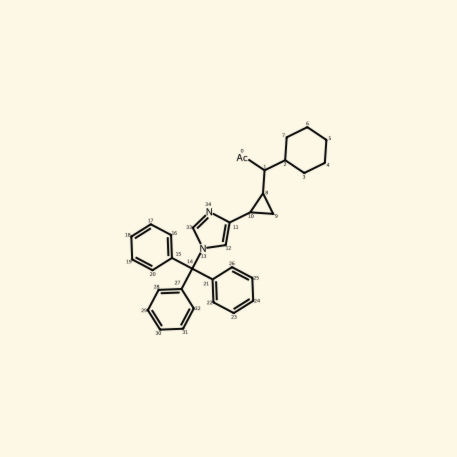 CC(=O)C(C1CCCCC1)C1CC1c1cn(C(c2ccccc2)(c2ccccc2)c2ccccc2)cn1